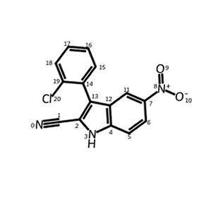 N#Cc1[nH]c2ccc([N+](=O)[O-])cc2c1-c1ccccc1Cl